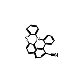 N#Cc1ccccc1-c1ccccc1N1c2ccccc2Sc2ccccc21